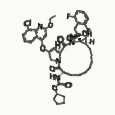 CCOc1cc(OC2C[C@H]3C(=O)N[C@]4(P(=O)(O)Cc5c(F)cccc5F)C[C@H]4CCCCCCC[C@H](NC(=O)OC4CCCC4)C(=O)N3C2)c2cccc(Cl)c2n1